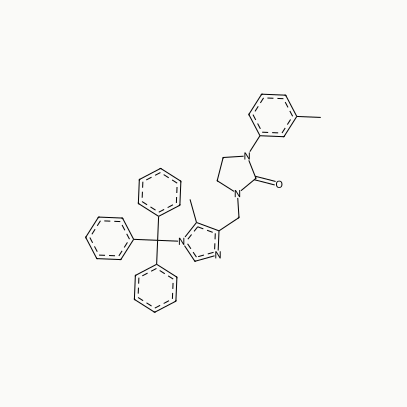 Cc1cccc(N2CCN(Cc3ncn(C(c4ccccc4)(c4ccccc4)c4ccccc4)c3C)C2=O)c1